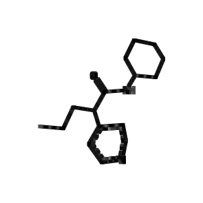 CCCC(C(=O)NC1CCCCC1)c1ccncc1